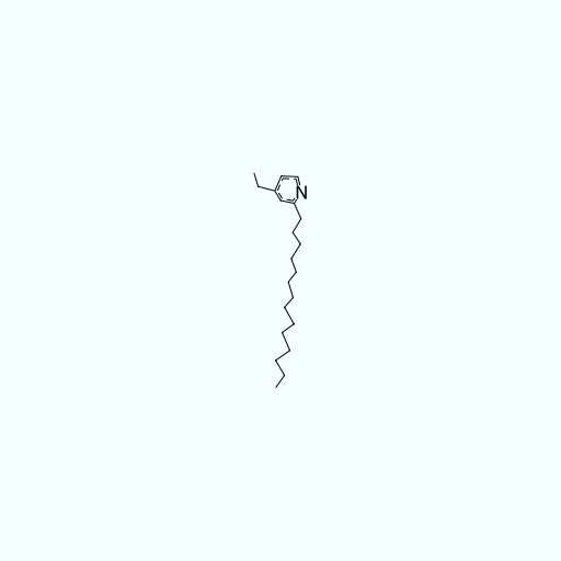 CCCCCCCCCCCCCCc1cc(CC)ccn1